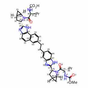 COC(=O)N[C@H](C(=O)N1[C@@H]2C[C@@H]2C[C@H]1c1nc2cc(CCc3ccc4c(ccc5nc([C@@H]6C[C@H]7C[C@H]7N6C(=O)[C@@H](NC(=O)O)C(C)C)[nH]c54)c3)ccc2[nH]1)C(C)C